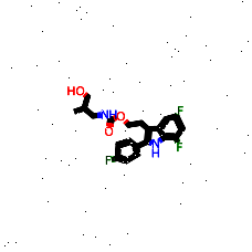 CC(CO)CNC(=O)OCCc1c(-c2ccc(F)cc2)[nH]c2c(F)cc(F)cc12